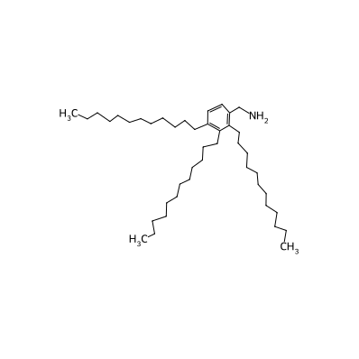 CCCCCCCCCCCCc1ccc(CN)c(CCCCCCCCCCCC)c1CCCCCCCCCCCC